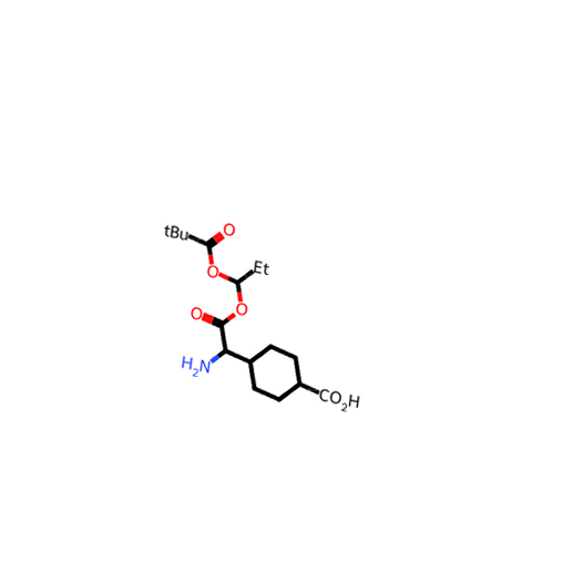 CCC(OC(=O)C(N)C1CCC(C(=O)O)CC1)OC(=O)C(C)(C)C